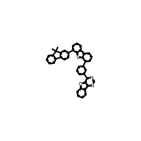 CC1(C)c2ccccc2-c2ccc(-c3cccc4c3sc3c(-c5cccc(-c6ncnc7c6oc6ccccc67)c5)cccc34)cc21